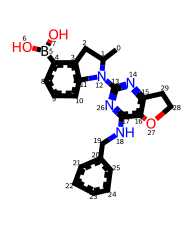 CC1Cc2c(B(O)O)cccc2N1c1nc2c(c(NCc3ccccc3)n1)OCC2